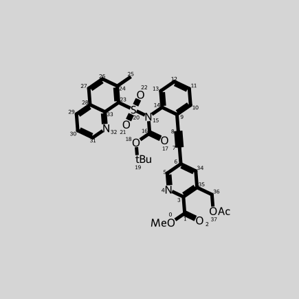 COC(=O)c1ncc(C#Cc2ccccc2N(C(=O)OC(C)(C)C)S(=O)(=O)c2c(C)ccc3cccnc23)cc1COC(C)=O